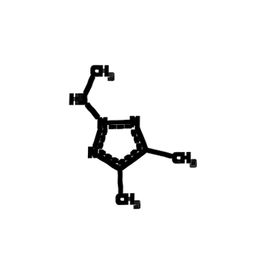 CBn1nc(C)c(C)n1